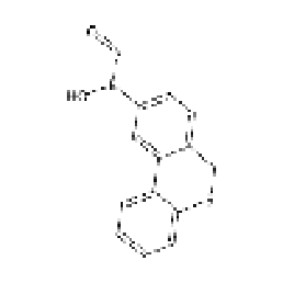 O=NB(O)c1ccc2c(c1)-c1ccccc1SC2